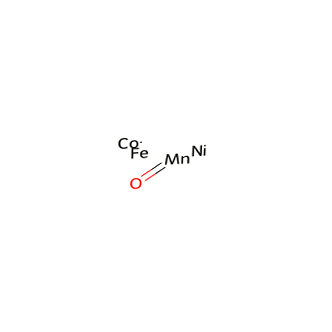 [Co].[Fe].[Ni].[O]=[Mn]